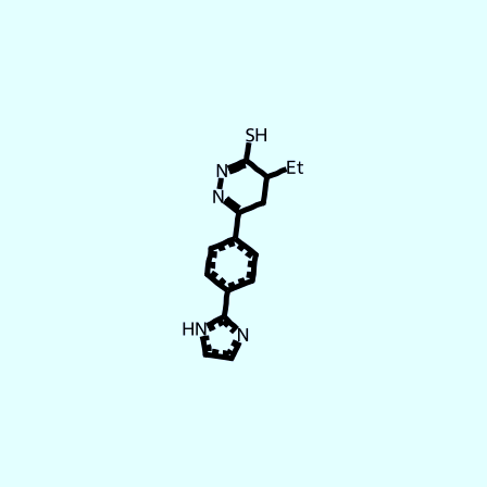 CCC1CC(c2ccc(-c3ncc[nH]3)cc2)=NN=C1S